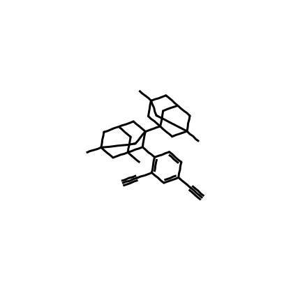 C#Cc1ccc(C2C3(C)CC4CC(C)(C3)CC2(C23CC5CC(C)(CC(C)(C5)C2)C3)C4)c(C#C)c1